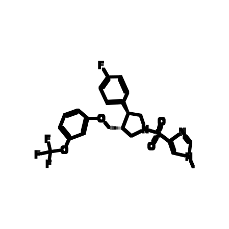 Cn1cnc(S(=O)(=O)N2C[C@H](COc3cccc(OC(F)(F)F)c3)[C@@H](c3ccc(F)cc3)C2)c1